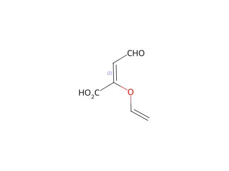 C=CO/C(=C\C=O)C(=O)O